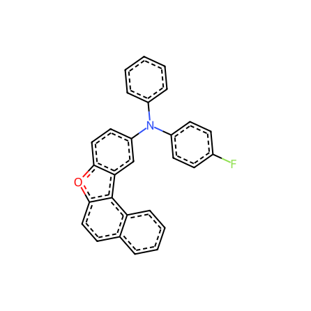 Fc1ccc(N(c2ccccc2)c2ccc3oc4ccc5ccccc5c4c3c2)cc1